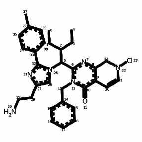 CCC(CC)C(c1nc2c(c(=O)n1Cc1ccccc1)C=CN(Cl)C2)n1cc(CCN)nc1-c1ccc(C)cc1